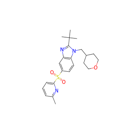 Cc1cccc(S(=O)(=O)c2ccc3c(c2)nc(C(C)(C)C)n3CC2CCOCC2)n1